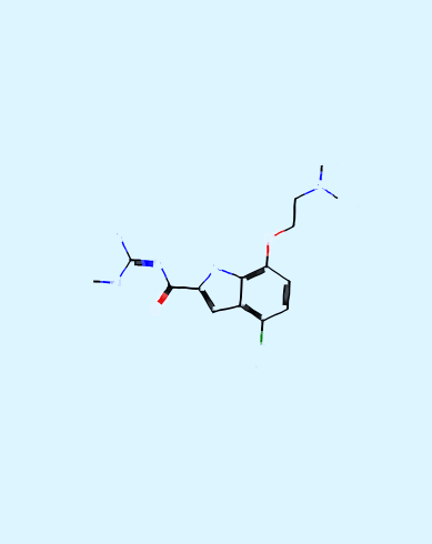 CNC(N)=NC(=O)c1cc2c(Cl)ccc(OCCN(C)C)c2[nH]1.Cl.Cl